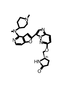 CN1CCC(N(C)c2nccc3oc(-c4cnc5ccc(OC[C@H]6CCC(=O)N6)nn45)cc23)CC1